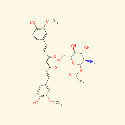 CC(=O)OC1O[C@H](CO)[C@@H](O)[C@H](O)[C@H]1N.COc1cc(/C=C/C(=O)CC(=O)/C=C/c2ccc(O)c(OC)c2)ccc1O